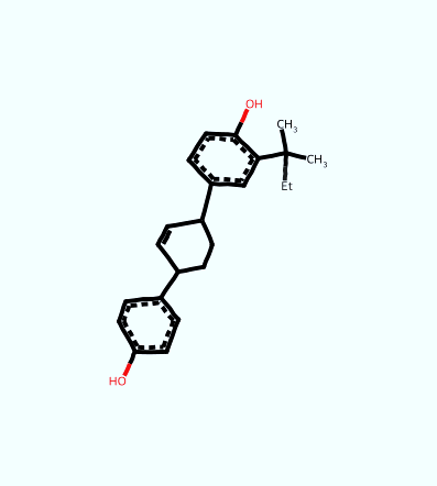 CCC(C)(C)c1cc(C2C=CC(c3ccc(O)cc3)CC2)ccc1O